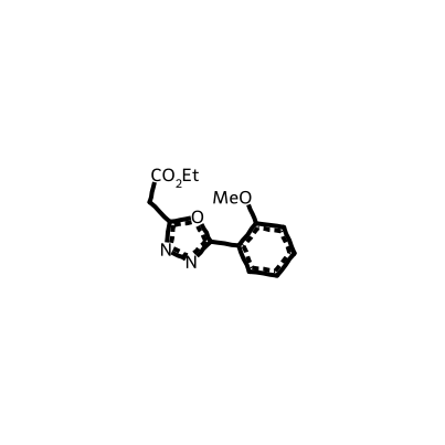 CCOC(=O)Cc1nnc(-c2ccccc2OC)o1